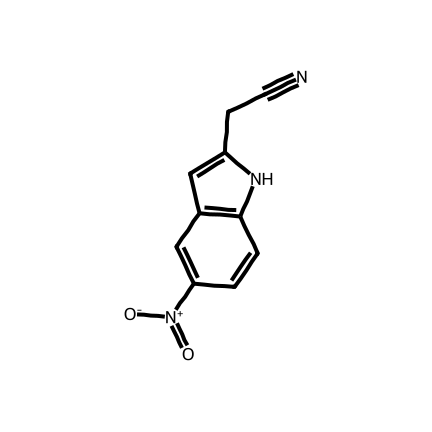 N#CCc1cc2cc([N+](=O)[O-])ccc2[nH]1